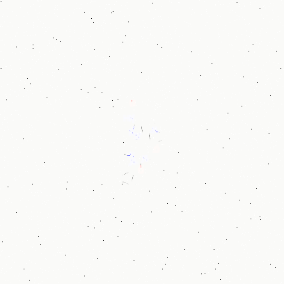 COCCNc1nn(C)c(-c2cc(OC3CN(C(=O)N4N=CC[C@H]4c4cc(F)cc(F)c4)C3)c(F)cn2)c1C